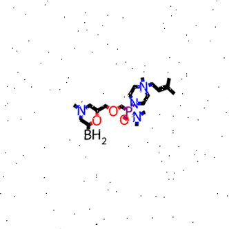 BC1CN(C)CC(COCP(=O)(N(C)C)N2CC[N+](C)(CC=C(C)C)CC2)O1